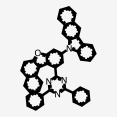 c1ccc(-c2nc(-c3ccccc3)nc(-c3cc(-n4c5ccccc5c5cc6ccccc6cc54)cc4oc5ccc6ccccc6c5c34)n2)cc1